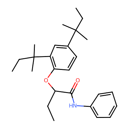 CCC(Oc1ccc(C(C)(C)CC)cc1C(C)(C)CC)C(=O)Nc1ccccc1